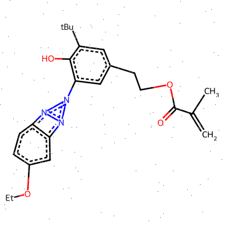 C=C(C)C(=O)OCCc1cc(-n2n3c4ccc(OCC)cc4n23)c(O)c(C(C)(C)C)c1